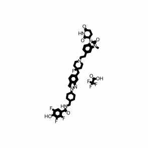 Cn1c(=O)n([C@@H]2CCC(=O)NC2=O)c2ccc(CCN3CCC(F)(Cc4ccc5cn(C6CCC(CNC(=O)c7cc(F)c(O)c(F)c7F)CC6)nc5c4)CC3)cc21.O=C(O)C(F)(F)F